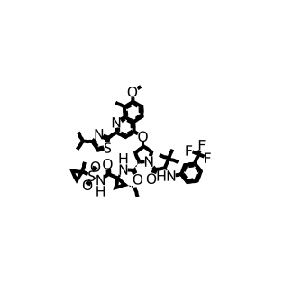 CC[C@@H]1C[C@]1(NC(=O)[C@@H]1C[C@@H](Oc2cc(-c3nc(C(C)C)cs3)nc3c(C)c(OC)ccc23)CN1C(=O)[C@@H](Nc1cccc(C(F)(F)F)c1)C(C)(C)C)C(=O)NS(=O)(=O)C1(C)CC1